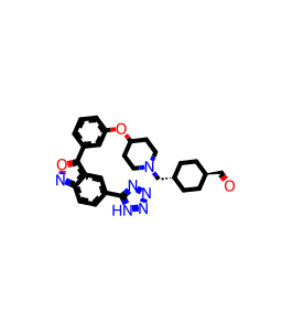 O=C[C@H]1CC[C@H](CN2CCC(Oc3cccc(-c4onc5ccc(-c6nnn[nH]6)cc45)c3)CC2)CC1